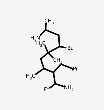 CCC(C)C(CC(C)N)C(C)(C)CC(C)C(CC(C)C)C(N)CC